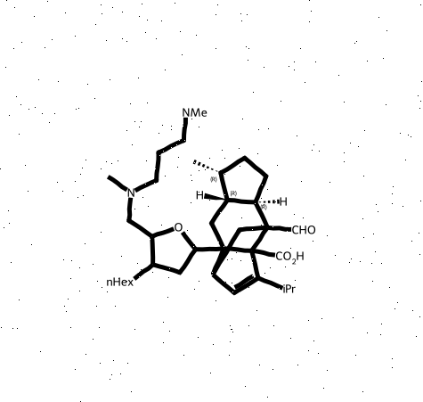 CCCCCCC1CC(C23C[C@@H]4[C@H](C)CC[C@H]4C4(C=O)CC2C=C(C(C)C)C34C(=O)O)OC1CN(C)CCCNC